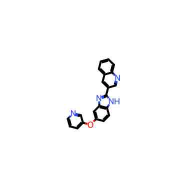 c1cncc(Oc2ccc3[nH]c(-c4cnc5ccccc5c4)nc3c2)c1